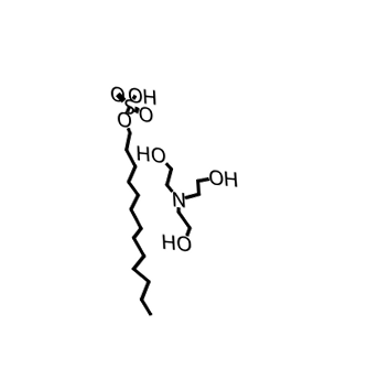 CCCCCCCCCCCCCOS(=O)(=O)O.OCCN(CCO)CCO